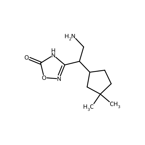 CC1(C)CCC(C(CN)c2noc(=O)[nH]2)C1